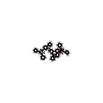 N#Cc1ccc(-c2cc(-n3c4ccccc4c4ccc(-c5nc(-c6ccccc6)nc(-c6ccccc6)n5)cc43)ncc2-n2c3ccccc3c3ccc(-c4nc(-c5ccccc5)nc(-c5ccccc5)n4)cc32)cc1